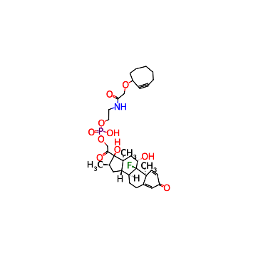 C[C@@H]1C[C@H]2[C@@H]3CCC4=CC(=O)C=C[C@]4(C)[C@@]3(F)[C@@H](O)C[C@]2(C)[C@@]1(O)C(=O)COP(=O)(O)OCCNC(=O)COC1C#CCCCCC1